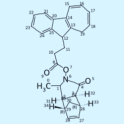 CC1[C@H]2[C@@H](C(=O)N1OC(=O)CCC1C3=C(C=CC=CC3)c3ccccc31)[C@H]1C=C[C@H]2C1